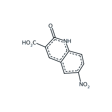 O=C(O)c1cc2cc([N+](=O)[O-])ccc2[nH]c1=O